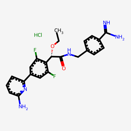 CCO[C@H](C(=O)NCc1ccc(C(=N)N)cc1)c1c(F)cc(-c2cccc(N)n2)cc1F.Cl